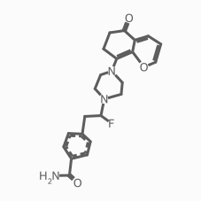 NC(=O)c1ccc(CC(F)N2CCN(C3=C4OC=CC=C4C(=O)CC3)CC2)cc1